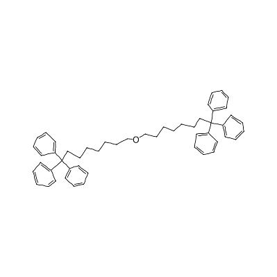 c1ccc(C(CCCCCCCOCCCCCCCC(c2ccccc2)(c2ccccc2)c2ccccc2)(c2ccccc2)c2ccccc2)cc1